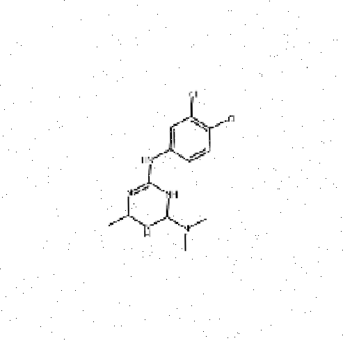 CC1N=C(Nc2ccc(Cl)c(Cl)c2)NC(N(C)C)N1